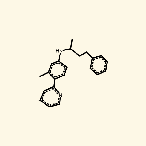 Cc1cc(NC(C)CCc2ccccc2)ccc1-c1c[c]ccn1